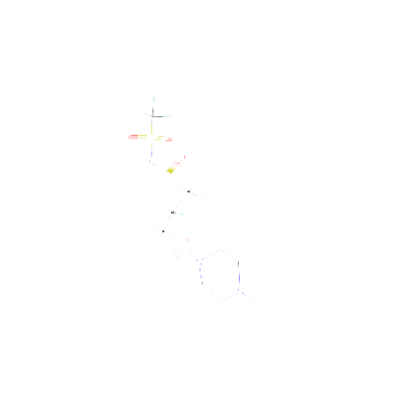 CN1CCN(S(=O)(=O)C(F)(F)C(F)(F)C(F)(F)S(=O)(=O)NS(=O)(=O)C(F)(F)F)CC1